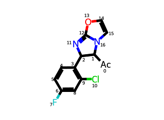 CC(=O)C1C(c2ccc(F)cc2Cl)N=C2OC=CN21